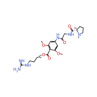 COc1cc(NC(=O)CNC(=O)[C@@H]2CCCN2C)cc(OC)c1C(=O)OCCCCNC(=N)N